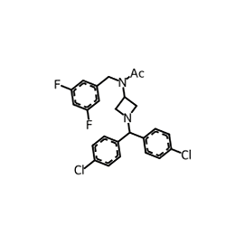 CC(=O)N(Cc1cc(F)cc(F)c1)C1CN(C(c2ccc(Cl)cc2)c2ccc(Cl)cc2)C1